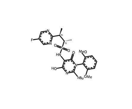 CCCCc1nc(O)c(NS(=O)(=O)[C@@H](C)[C@H](C)c2ncc(F)cn2)c(=O)n1-c1c(OC)cccc1OC